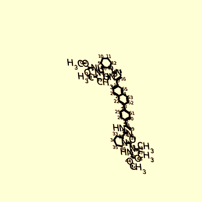 COC(=O)NN(C(=O)[C@@H]1CCCC[C@@H]1c1ncc(-c2ccc3cc(-c4ccc(-c5cnc([C@@H]6CCCCN6C(=O)N(NC(=O)OC)C(C)C)[nH]5)cc4)ccc3c2)[nH]1)C(C)C